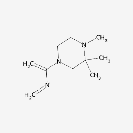 C=NC(=C)N1CCN(C)C(C)(C)C1